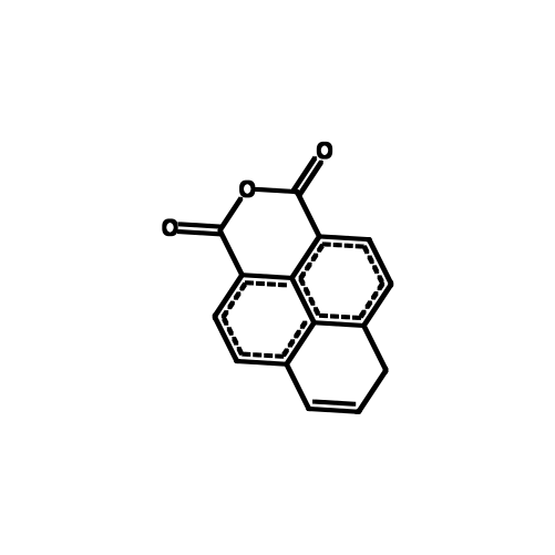 O=C1OC(=O)c2ccc3c4c(ccc1c24)C=CC3